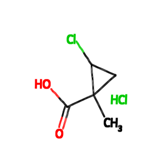 CC1(C(=O)O)CC1Cl.Cl